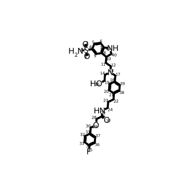 NS(=O)(=O)c1ccc2c(c1)C(CCN(CCO)Cc1ccc(CCCNC(=O)COCc3ccc(F)cc3)cc1)CN2